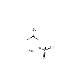 CCC(C)CC[PH](=O)O.[AlH3]